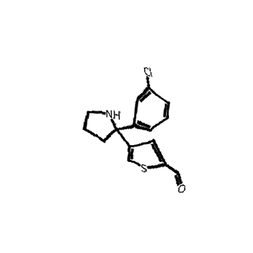 O=Cc1cc(C2(c3cccc(Cl)c3)CCCN2)cs1